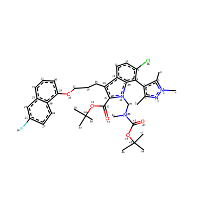 Cc1nn(C)c(C)c1-c1c(Cl)ccc2c(CCCOc3cccc4cc(F)ccc34)c(C(=O)OC(C)(C)C)n(CN(C)C(=O)OC(C)(C)C)c12